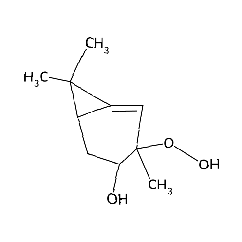 CC1(OO)C=C2C(CC1O)C2(C)C